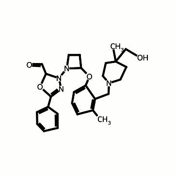 Cc1cccc(OC2CCN2N2N=C(c3ccccc3)OC2C=O)c1CN1CCC(C)(CO)CC1